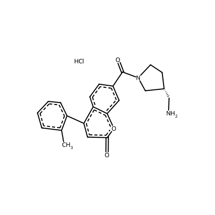 Cc1ccccc1-c1cc(=O)oc2cc(C(=O)N3CC[C@H](CN)C3)ccc12.Cl